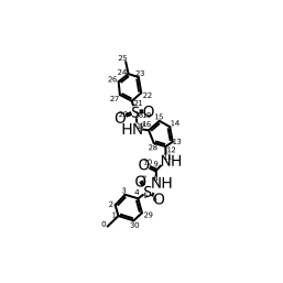 Cc1ccc(S(=O)(=O)NC(=O)Nc2cccc(NS(=O)(=O)c3ccc(C)cc3)c2)cc1